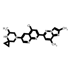 Cc1cn2nc(-c3cc(Cl)c4cc(N5CC(C)NC6(CC6)C5)cnc4n3)cc(C)c2n1